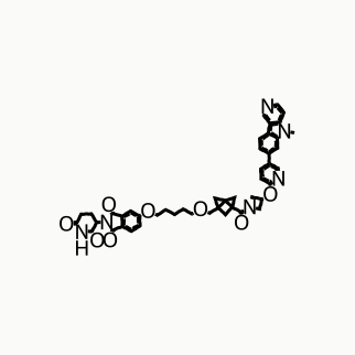 Cn1c2ccncc2c2ccc(-c3ccc(OC4CN(C(=O)C56CC7(COCCCCCOc8ccc9c(c8)C(=O)N(C8CCC(=O)NC8=O)C9=O)CC75C6)C4)nc3)cc21